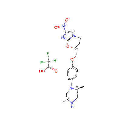 C[C@@H]1CN(c2ccc(OC[C@H]3CCn4cc([N+](=O)[O-])nc4O3)cc2)[C@@H](C)CN1.O=C(O)C(F)(F)F